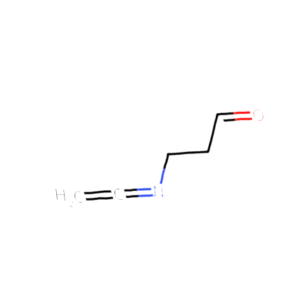 C=C=NCCC=O